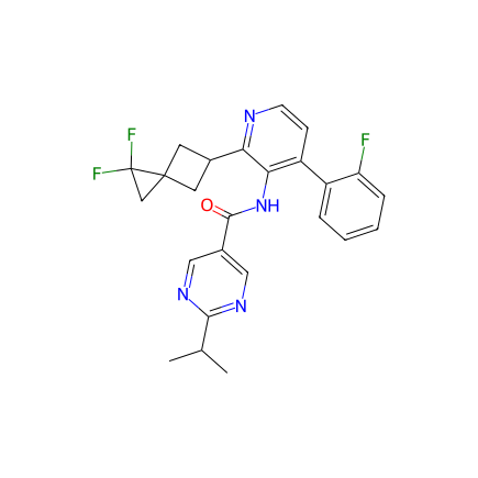 CC(C)c1ncc(C(=O)Nc2c(-c3ccccc3F)ccnc2C2CC3(C2)CC3(F)F)cn1